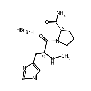 Br.Br.CN[C@@H](Cc1c[nH]cn1)C(=O)N1CCC[C@H]1C(N)=O